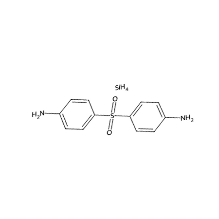 Nc1ccc(S(=O)(=O)c2ccc(N)cc2)cc1.[SiH4]